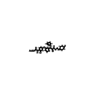 CC(=O)NC(=S)Nc1ccc(Oc2ccnc(NC(=O)NCCCN3CCN(C)CC3)c2)cc1Cl.c1cc2cc-2c1